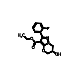 CCOC(=O)c1c(-c2ccccc2F)nn2c1OCC(O)C2